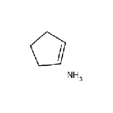 C1=CCCC1.N